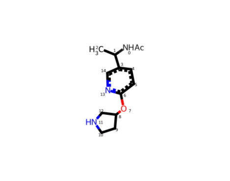 CC(=O)NC(C)c1ccc(OC2CCNC2)nc1